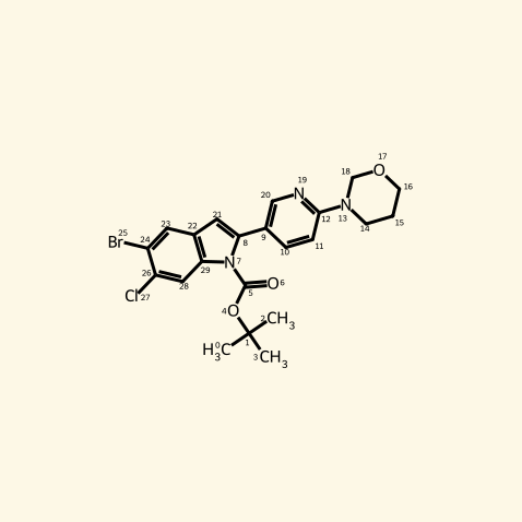 CC(C)(C)OC(=O)n1c(-c2ccc(N3CCCOC3)nc2)cc2cc(Br)c(Cl)cc21